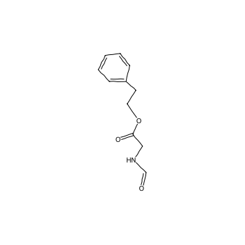 O=CNCC(=O)OCCc1ccccc1